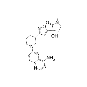 CN1CC[C@@](O)(c2cc([C@H]3CCCN(c4ccc5ncnc(N)c5n4)C3)no2)C1=O